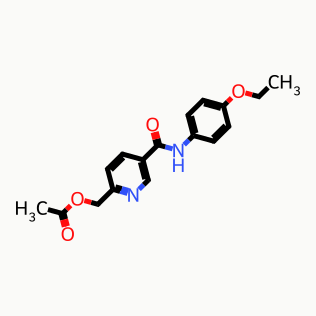 CCOc1ccc(NC(=O)c2ccc(COC(C)=O)nc2)cc1